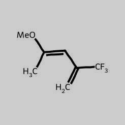 C=C(C=C(C)OC)C(F)(F)F